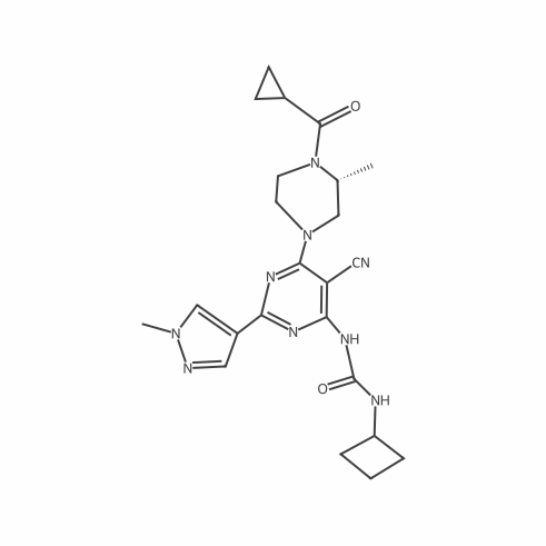 C[C@@H]1CN(c2nc(-c3cnn(C)c3)nc(NC(=O)NC3CCC3)c2C#N)CCN1C(=O)C1CC1